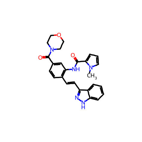 Cn1cccc1C(=O)Nc1cc(C(=O)N2CCOCC2)ccc1C=Cc1n[nH]c2ccccc12